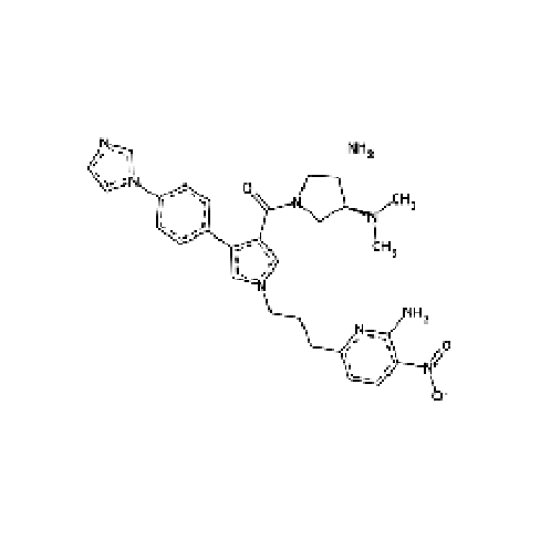 CN(C)[C@@H]1CCN(C(=O)c2cn(CCCc3ccc([N+](=O)[O-])c(N)n3)cc2-c2ccc(-n3ccnc3)cc2)C1.N